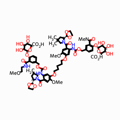 C=C1C[C@@H](C2OCCO2)N(C(=O)c2cc(OC)c(OCCCCCOc3cc(NC(=O)OCc4ccc(O[C@@H]5O[C@H](C(=O)O)[C@@H](O)[C@H](O)[C@H]5O)c(C(=O)NC)c4)c(C(=O)N4CC(C)(C)C[C@H]4C4OCCO4)cc3OC)cc2NC(=O)OCc2ccc(O[C@@H]3O[C@H](C(=O)O)[C@@H](O)[C@H](O)[C@H]3O)c(C(=O)NCCOC)c2)C1